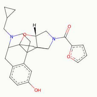 O=C(c1ccco1)N1C[C@H]2OC34CCC1C2C31CCN(CC2CC2)C4Cc2ccc(O)cc21